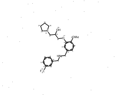 COc1ccc(CNCc2cccc(C(F)(F)F)c2)cc1OCC(O)CN1CCCC1